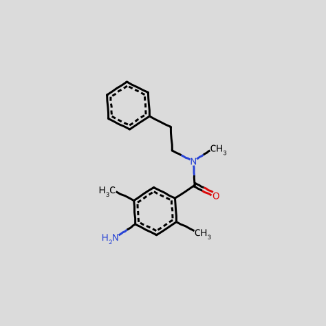 Cc1cc(C(=O)N(C)CCc2ccccc2)c(C)cc1N